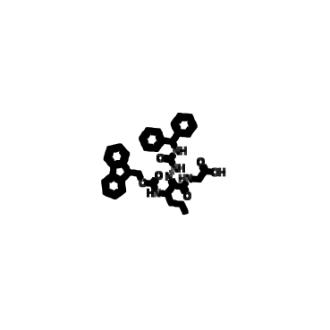 CCCC(NC(=O)OCC1c2ccccc2-c2ccccc21)C(=NNC(=O)NC(c1ccccc1)c1ccccc1)C(=O)NCC(=O)O